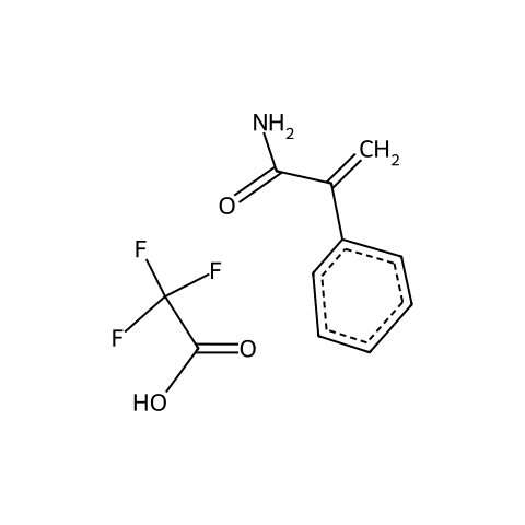 C=C(C(N)=O)c1ccccc1.O=C(O)C(F)(F)F